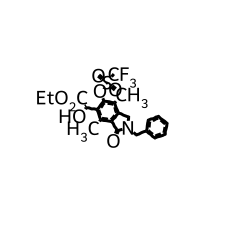 CCOC(=O)[C@@H](O)c1c(C)c2c(c(C)c1OS(=O)(=O)C(F)(F)F)CN(Cc1ccccc1)C2=O